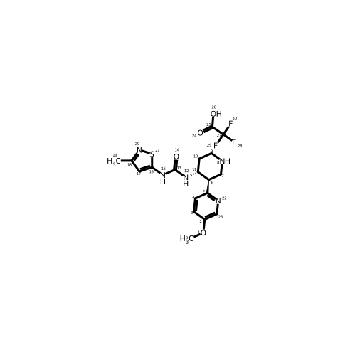 COc1ccc([C@@H]2CNCC[C@H]2NC(=O)Nc2cc(C)ns2)nc1.O=C(O)C(F)(F)F